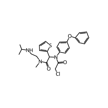 CC(C)NCCN(C)C(=O)C(c1cccs1)N(C(=O)CCl)c1ccc(Oc2ccccc2)cc1